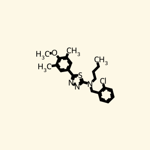 CCCCN(Cc1ccccc1Cl)c1nnc(-c2cc(C)c(OC)c(C)c2)s1